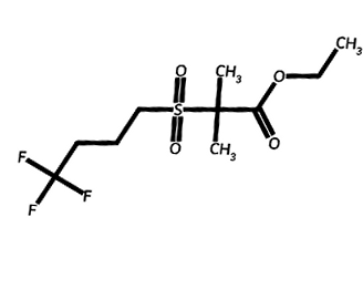 CCOC(=O)C(C)(C)S(=O)(=O)CCCC(F)(F)F